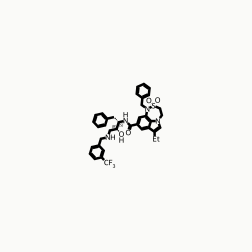 CCc1cn2c3c(cc(C(=O)N[C@@H](Cc4ccccc4)[C@H](O)CNCc4cccc(C(F)(F)F)c4)cc13)N(Cc1ccccc1)S(=O)(=O)CC2